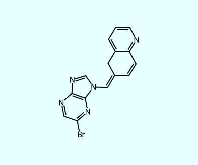 Brc1cnc2ncn(C=C3C=Cc4ncccc4C3)c2n1